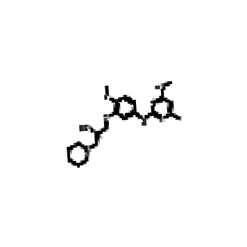 CNc1cc(C)nc(Nc2ccc(OC)c(OC[C@H](O)CN3CCCCC3)c2)n1